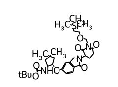 CC1(C)C[C@@H](NC(=O)OC(C)(C)C)[C@H](Oc2ccc3c(c2)CN(C2CCC(=O)N(COCC[Si](C)(C)C)C2=O)C3=O)C1